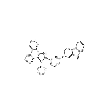 c1ccc(-n2c(-c3cccc(-c4ccc5c(c4)[nH]c4ccccc45)c3)nc3c4ccccc4c4ccccc4c32)cc1